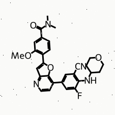 COc1cc(C(=O)N(C)C)ccc1-c1cc2nccc(-c3cc(F)c(NC4CCOCC4)c(C#N)c3)c2o1